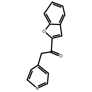 O=C(Cc1ccncc1)c1cc2ccccc2o1